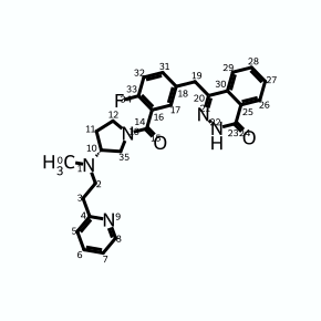 CN(CCc1ccccn1)[C@@H]1CCN(C(=O)c2cc(Cc3n[nH]c(=O)c4ccccc34)ccc2F)C1